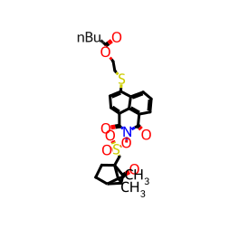 CCCCC(=O)OCCSc1ccc2c3c(cccc13)C(=O)N(OS(=O)(=O)CC13CCC(CC1=O)C3(C)C)C2=O